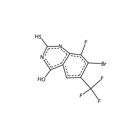 Oc1nc(S)nc2c(F)c(Br)c(C(F)(F)F)cc12